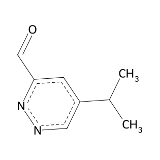 CC(C)c1cnnc(C=O)c1